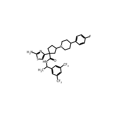 CC(NC(=O)C1(c2csc(N)n2)CCC(N2CCC(c3ccc(F)cc3)CC2)C1)c1cc(C(F)(F)F)cc(C(F)(F)F)c1